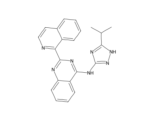 CC(C)c1nc(Nc2nc(-c3nccc4ccccc34)nc3ccccc23)n[nH]1